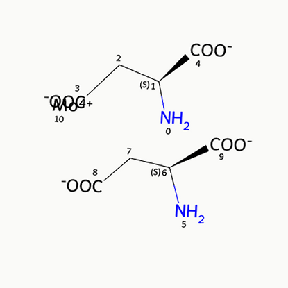 N[C@@H](CC(=O)[O-])C(=O)[O-].N[C@@H](CC(=O)[O-])C(=O)[O-].[Mo+4]